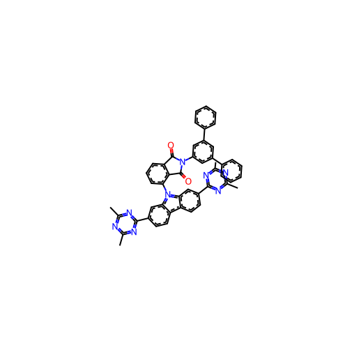 Cc1nc(C)nc(-c2ccc3c4ccc(-c5nc(C)nc(C)n5)cc4n(-c4cccc5c4C(=O)N(c4cc(-c6ccccc6)cc(-c6ccccc6)c4)C5=O)c3c2)n1